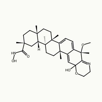 CO[C@@]1(C)C2=CC=C3[C@@](C)(CC[C@@]4(C)[C@@H]5C[C@](C)(C(=O)NO)CC[C@]5(C)CC[C@]34C)C2=CC2(O)OCCN=C21